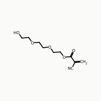 C=C(C#N)C(=O)OCCOCCOCCO